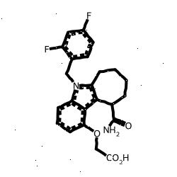 NC(=O)C1CCCCc2c1c1c(OCC(=O)O)cccc1n2Cc1ccc(F)cc1F